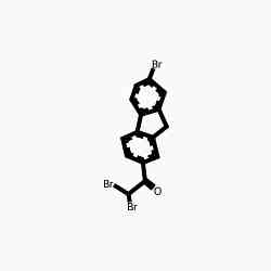 O=C(c1ccc2c(c1)Cc1cc(Br)ccc1-2)C(Br)Br